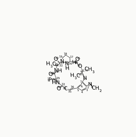 C=Nc1ccc2cc1/N=C(\C)[C@@H](C)OC(=O)[C@@H]1CCCN(N1)C(=O)[C@H](C)NC(=O)[C@H](C(C)C)NC(=O)C/C=C/2